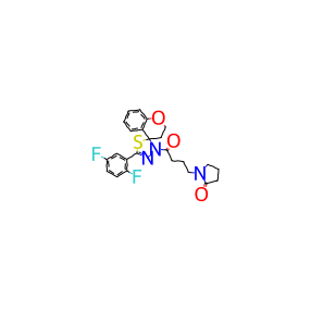 O=C1CCCN1CCCC(=O)N1N=C(c2cc(F)ccc2F)SC12CCOc1ccccc12